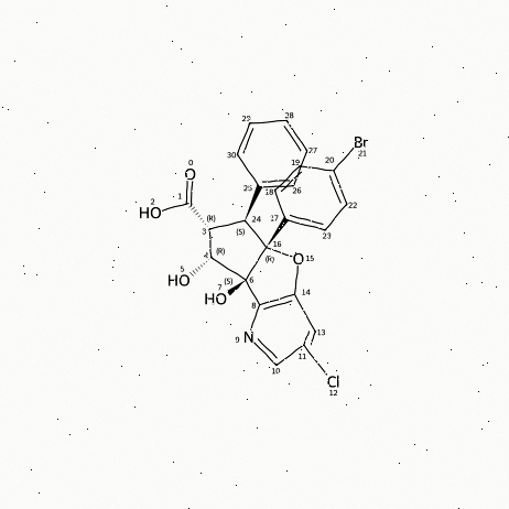 O=C(O)[C@H]1[C@@H](O)[C@@]2(O)c3ncc(Cl)cc3O[C@@]2(c2ccc(Br)cc2)[C@@H]1c1ccccc1